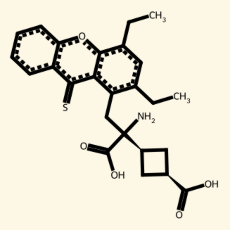 CCc1cc(CC)c2oc3ccccc3c(=S)c2c1CC(N)(C(=O)O)[C@H]1C[C@@H](C(=O)O)C1